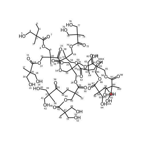 CCC(C)(CO)C(=O)OCC(C)(COC(=O)C(C)(CO)CO)C(=O)OCC(COC(=O)C(C)(CCC(=O)C(C)(CO)CO)COC(=O)C(C)(CO)CO)(COC(=O)C(C)(COC(=O)C(C)(CO)CO)COC(=O)C(C)(CO)CO)COC(=O)C(C)(COC(=O)C(C)(CO)CO)COC(=O)C(C)(CO)CO